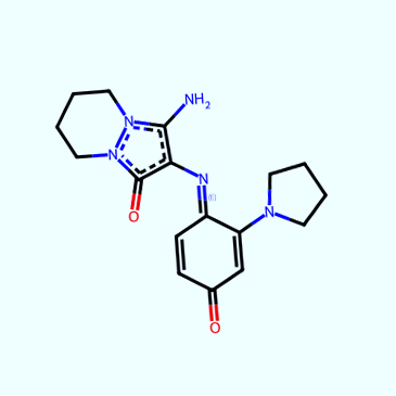 Nc1c(/N=C2\C=CC(=O)C=C2N2CCCC2)c(=O)n2n1CCCC2